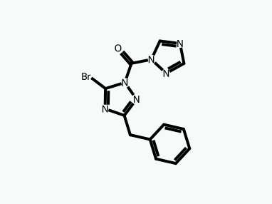 O=C(n1cncn1)n1nc(Cc2ccccc2)nc1Br